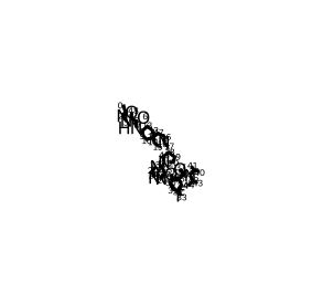 Cc1nnc(C(=O)NC2CCC3(CC2)CCN(C[C@@H]2CCN(c4ncnnc4Oc4ccc(F)cc4C(=O)N(C(C)C)C(C)C)C2)CC3)o1